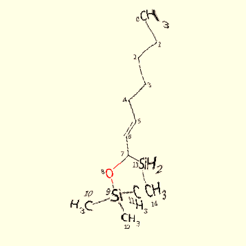 CCCCCC=CC(O[Si](C)(C)C)[SiH2]C